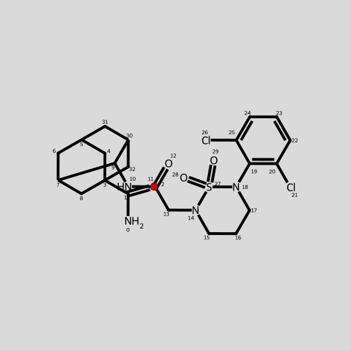 NC(=O)C12CC3CC(C1)C(NC(=O)CN1CCCN(c4c(Cl)cccc4Cl)S1(=O)=O)C(C3)C2